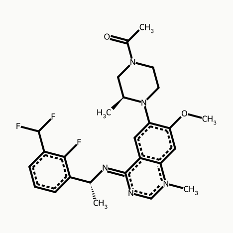 COc1cc2c(cc1N1CCN(C(C)=O)C[C@@H]1C)/c(=N/[C@H](C)c1cccc(C(F)F)c1F)ncn2C